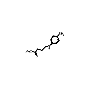 COC(=O)CCCNc1ccc(N)cc1